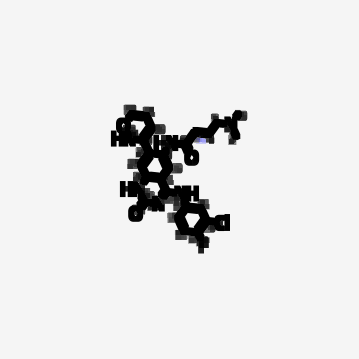 CN(C)C/C=C/C(=O)Nc1cc2c(Nc3ccc(F)c(Cl)c3)nc(=O)[nH]c2cc1C1=CC=CON1